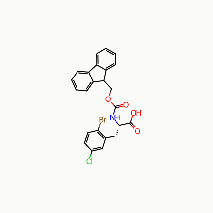 O=C(N[C@@H](Cc1cc(Cl)ccc1Br)C(=O)O)OCC1c2ccccc2-c2ccccc21